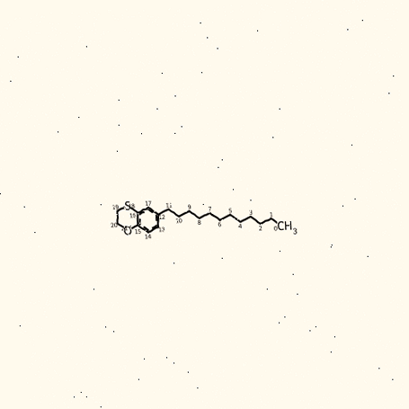 CCCCCCCCCCCCc1ccc2c(c1)SCCO2